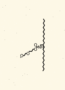 CCCCCCCCCCCCC(CCCCCCCCCCCC)CNC(=O)OCCCOCCOC